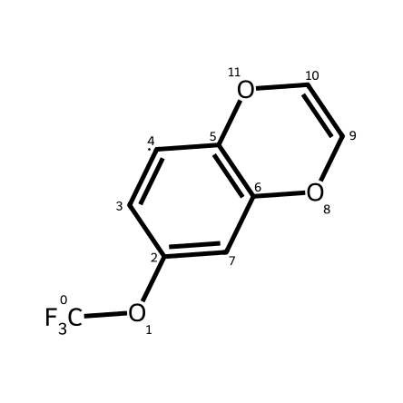 FC(F)(F)Oc1c[c]c2c(c1)OC=CO2